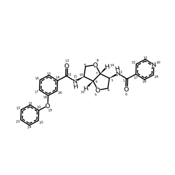 O=C(N[C@H]1CO[C@H]2[C@@H]1OC[C@@H]2NC(=O)c1cccc(Oc2ccccc2)c1)c1ccncc1